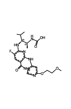 COCCOc1cc(Nc2nc(N[C@@H](C(C)C)[C@H](C)NC(=O)O)c(F)cc2C(N)=O)ccn1